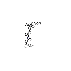 CCCCCCCCCC(C(C)=O)C(=O)OCCOC(=O)/C=C/C(=O)OCCOC